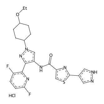 CCOC1CCC(n2cc(NC(=O)c3csc(-c4cn[nH]c4)n3)c(-c3nc(F)ccc3F)n2)CC1.Cl